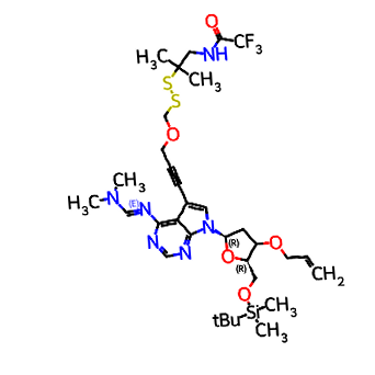 C=CCOC1C[C@H](n2cc(C#CCOCSSC(C)(C)CNC(=O)C(F)(F)F)c3c(/N=C/N(C)C)ncnc32)O[C@@H]1CO[Si](C)(C)C(C)(C)C